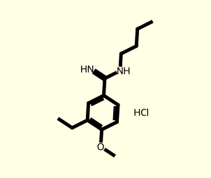 CCCCNC(=N)c1ccc(OC)c(CC)c1.Cl